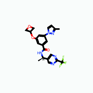 Cc1ccn(-c2cc(OC3COC3)cc(C(=O)N[C@H](C)c3cnc(C(F)(F)F)nc3)c2)n1